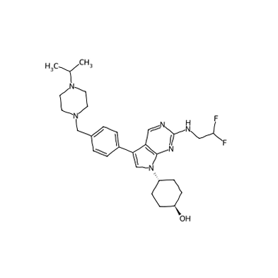 CC(C)N1CCN(Cc2ccc(-c3cn([C@H]4CC[C@H](O)CC4)c4nc(NCC(F)F)ncc34)cc2)CC1